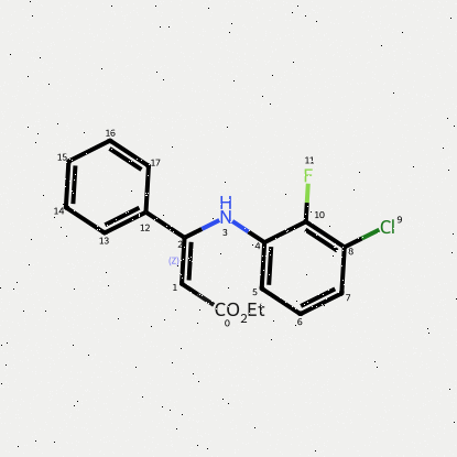 CCOC(=O)/C=C(\Nc1cccc(Cl)c1F)c1ccccc1